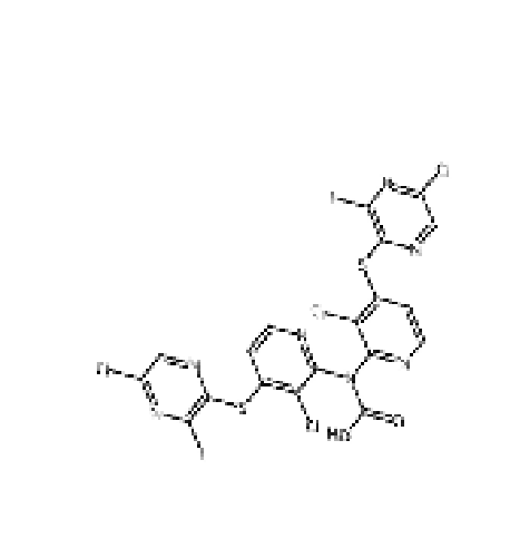 O=C(O)N(c1nccc(Sc2ncc(Cl)nc2I)c1Cl)c1nccc(Sc2ncc(Cl)nc2I)c1Cl